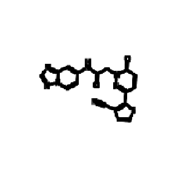 N#Cc1ccsc1-c1ccc(=O)n(CC(=O)Nc2ccn3ncnc3c2)n1